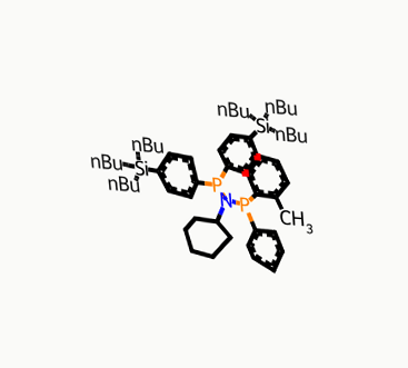 CCCC[Si](CCCC)(CCCC)c1ccc(P(c2ccc([Si](CCCC)(CCCC)CCCC)cc2)N(C2CCCCC2)P(c2ccccc2)c2ccccc2C)cc1